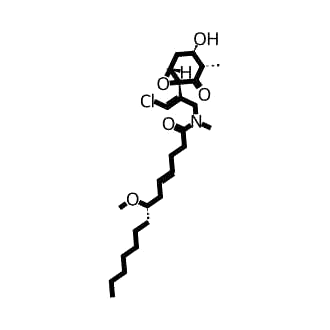 CCCCCCC[C@@H](C/C=C/CCC(=O)N(C)C/C(=C/Cl)[C@@]12O[C@@H]1C[C@H](O)[C@H](C)C2=O)OC